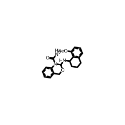 COc1cccc2c1C(NC1OCc3c[c]ccc3N1C(N)=O)CCC2